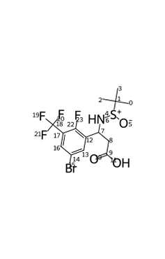 CC(C)(C)[S+]([O-])NC(CC(=O)O)c1cc(Br)cc(C(F)(F)F)c1F